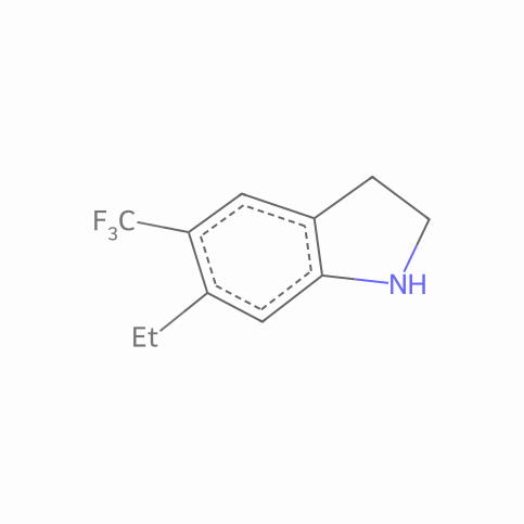 CCc1cc2c(cc1C(F)(F)F)CCN2